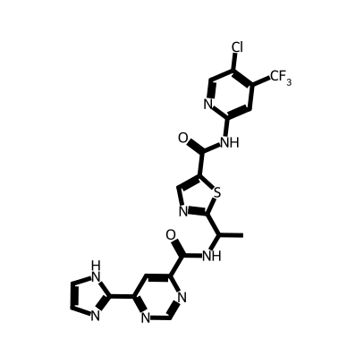 CC(NC(=O)c1cc(-c2ncc[nH]2)ncn1)c1ncc(C(=O)Nc2cc(C(F)(F)F)c(Cl)cn2)s1